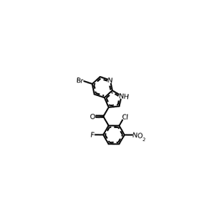 O=C(c1c(F)ccc([N+](=O)[O-])c1Cl)c1c[nH]c2ncc(Br)cc12